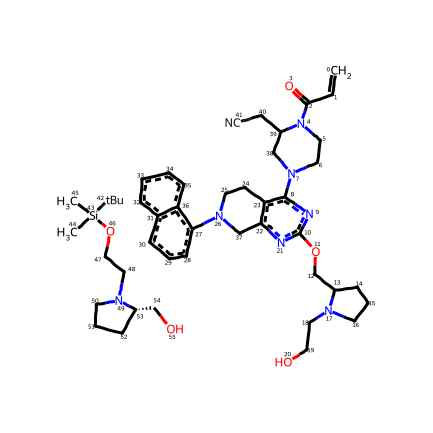 C=CC(=O)N1CCN(c2nc(OCC3CCCN3CCO)nc3c2CCN(c2cccc4ccccc24)C3)CC1CC#N.CC(C)(C)[Si](C)(C)OCCN1CCC[C@H]1CO